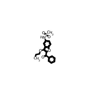 CCCOc1c(C(=O)c2ccccc2)oc2ccc(NS(C)(=O)=O)cc12